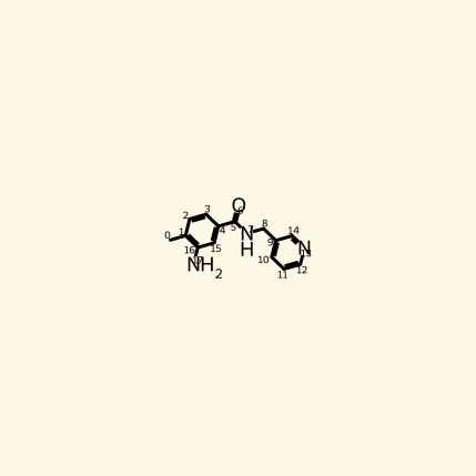 Cc1ccc(C(=O)NCc2cccnc2)cc1N